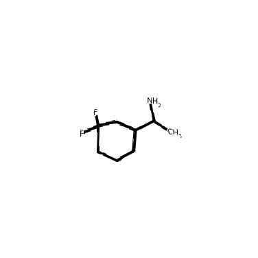 CC(N)C1CCCC(F)(F)C1